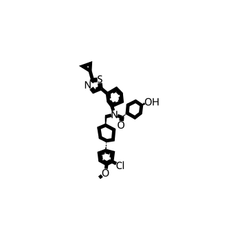 COc1ccc([C@H]2CC[C@H](CN(c3cccc(-c4cnc(C5CC5)s4)c3)C(=O)[C@H]3CC[C@H](O)CC3)CC2)cc1Cl